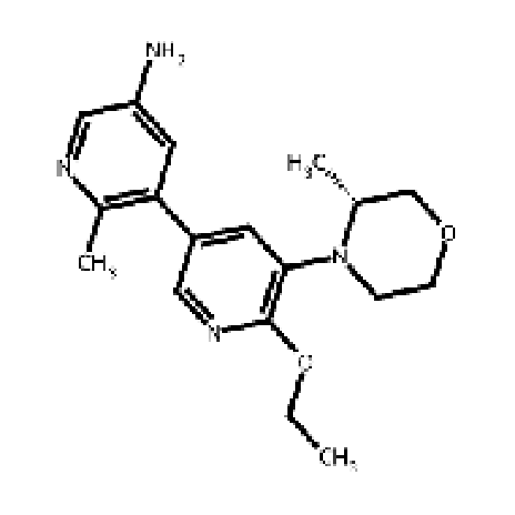 CCOc1ncc(-c2cc(N)cnc2C)cc1N1CCOC[C@H]1C